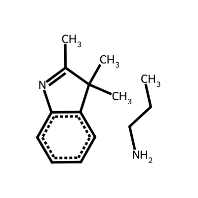 CC1=Nc2ccccc2C1(C)C.CCCN